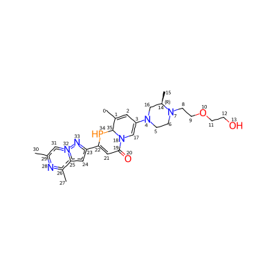 CC1=CC(N2CCN(CCOCCO)[C@H](C)C2)=CN2C(=O)C=C(c3cc4c(C)nc(C)cn4n3)PC12